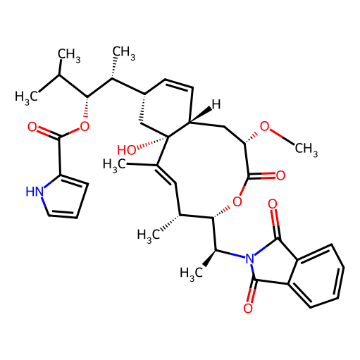 CO[C@H]1C[C@H]2C=C[C@@H]([C@@H](C)[C@H](OC(=O)c3ccc[nH]3)C(C)C)C[C@]2(O)/C(C)=C/[C@@H](C)[C@@H]([C@H](C)N2C(=O)c3ccccc3C2=O)OC1=O